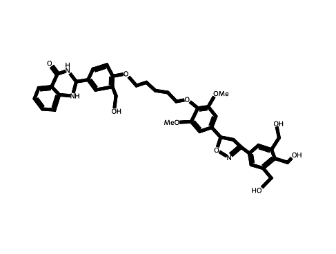 COc1cc(C2CC(c3cc(CO)c(CO)c(CO)c3)=NO2)cc(OC)c1OCCCCCOc1ccc(C2NC(=O)c3ccccc3N2)cc1CO